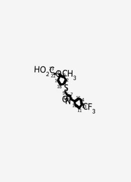 Cc1cc(SCc2cc(-c3ccc(C(F)(F)F)cc3)no2)ccc1OCC(=O)O